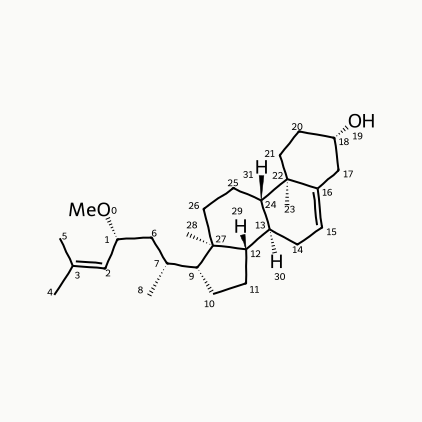 CO[C@@H](C=C(C)C)C[C@@H](C)[C@H]1CC[C@H]2[C@@H]3CC=C4C[C@@H](O)CC[C@]4(C)[C@H]3CC[C@]12C